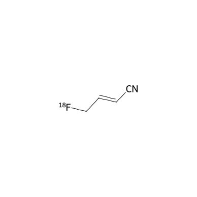 N#CC=CC[18F]